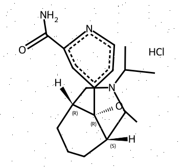 CO[C@@]1(c2ccnc(C(N)=O)c2)[C@@H]2CCC[C@H]1CN(C(C)C)C2.Cl